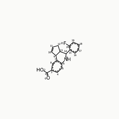 O=C(O)c1ccc2c(c1)C1C=CCC1C(c1ccccc1F)N2